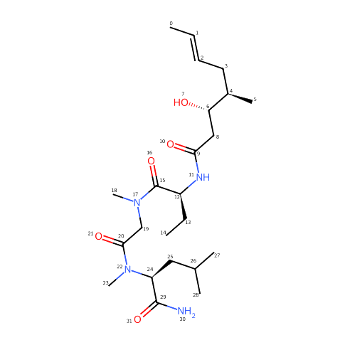 C/C=C/C[C@@H](C)[C@@H](O)CC(=O)N[C@@H](CC)C(=O)N(C)CC(=O)N(C)[C@@H](CC(C)C)C(N)=O